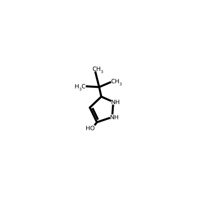 CC(C)(C)C1C=C(O)NN1